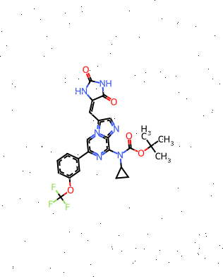 CC(C)(C)OC(=O)N(c1nc(-c2cccc(OC(F)(F)F)c2)cn2c(C=C3NC(=O)NC3=O)cnc12)C1CC1